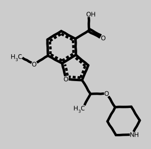 COc1ccc(C(=O)O)c2cc(C(C)OC3CCNCC3)oc12